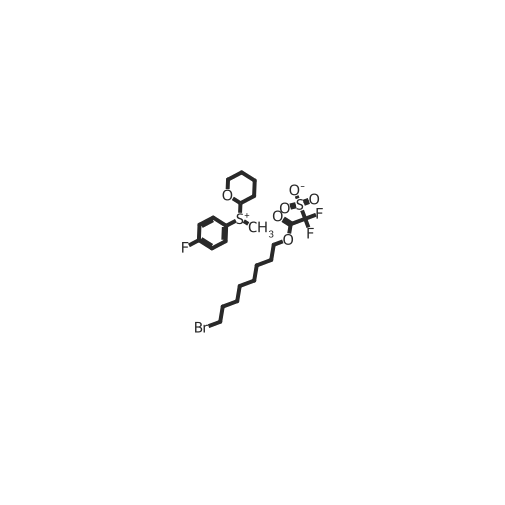 C[S+](c1ccc(F)cc1)C1CCCCO1.O=C(OCCCCCCCCBr)C(F)(F)S(=O)(=O)[O-]